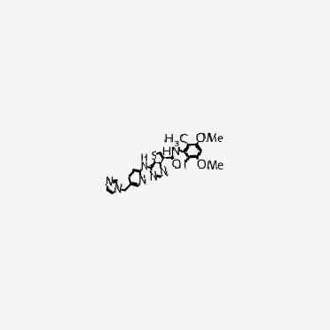 COc1cc(OC)c(I)c(NC(=O)c2csc3c(Nc4ccc(Cn5ccnc5)cn4)ncnc23)c1C